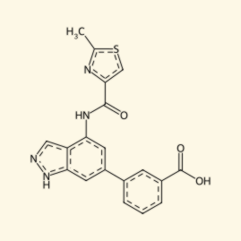 Cc1nc(C(=O)Nc2cc(-c3cccc(C(=O)O)c3)cc3[nH]ncc23)cs1